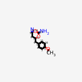 COc1ccc(CC(CC#N)OC(N)=O)cc1